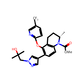 COC(=O)N1c2ccc(-c3cnn(CC(C)(C)O)c3)c(Oc3ccc(C(F)(F)F)cn3)c2CC[C@@H]1C